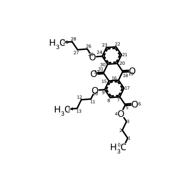 CCCCOC(=O)c1cc(OCCCC)c2c(c1)C(=O)c1cccc(OCCCC)c1C2=O